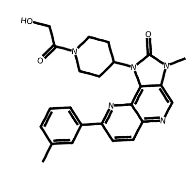 Cc1cccc(-c2ccc3ncc4c(c3n2)n(C2CCN(C(=O)CO)CC2)c(=O)n4C)c1